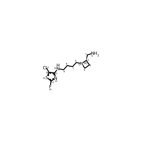 NC[C@H]1CCN1CCCCNc1nc(F)sc1Cl